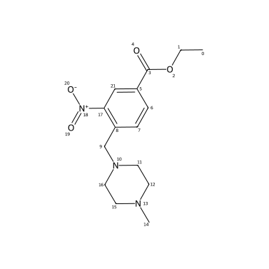 CCOC(=O)c1ccc(CN2CCN(C)CC2)c([N+](=O)[O-])c1